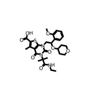 CCNC(=O)C(C)(C)n1c(=O)c2c(C)c(C(=O)O)sc2n(CC(OC2CCOCC2)c2ccccc2OC)c1=O